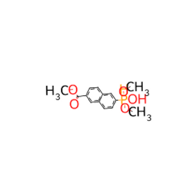 COC(=O)c1ccc2cc([PH](O)(OC)OC)ccc2c1